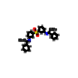 CO/C(=N\c1cccc(S(=O)(=O)c2cccc(/N=C(\OC)c3ccccc3)c2)c1)c1ccccc1